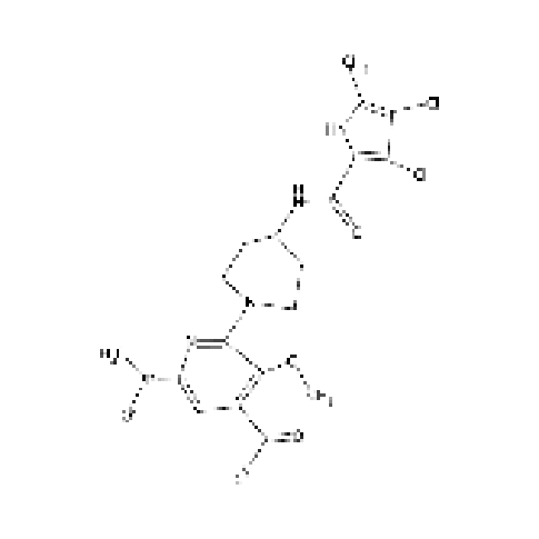 COc1c(C(N)=O)cc([S+](C)[O-])nc1N1CCC(NC(=O)c2[nH]c(C)c(Cl)c2Cl)CC1